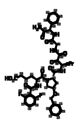 CCCC(NC(=O)[C@@H]1C[C@@H](OCc2ccccc2)CN1C(=O)[C@H](CCCC(=O)O)NC(=O)c1c(F)cccc1F)C(=O)C(=O)NCC(=O)NC(C(N)=O)c1ccccc1